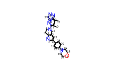 Cc1c(N2CCc3ncc(-c4ccc(N5CCOCC5)cc4)cc3C2)nn2cnnc2c1C